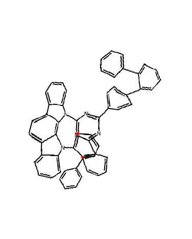 c1ccc(-c2nc(-c3ccc(-c4ccccc4-c4ccccc4)cc3)nc(-n3c4ccccc4c4ccc5c6ccccc6n(-c6ccccc6-c6ccccc6)c5c43)n2)cc1